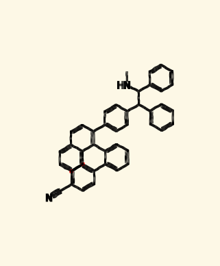 CNC(c1ccccc1)C(c1ccccc1)c1ccc(-c2ccc3ccccc3c2-c2ccccc2-c2ccc(C#N)cc2)cc1